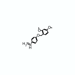 COc1ccc(COc2ccc(NN)cc2)c(OC)c1